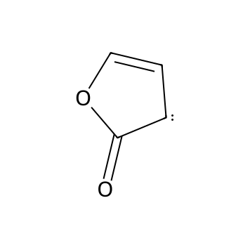 O=C1[C]C=CO1